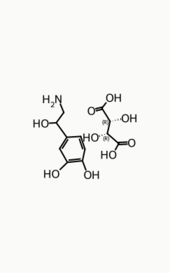 NCC(O)c1ccc(O)c(O)c1.O=C(O)[C@H](O)[C@@H](O)C(=O)O